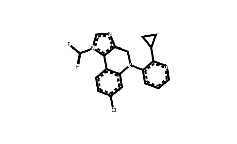 FC(F)n1cnc2c1-c1ccc(Cl)cc1N(c1cccnc1C1CC1)C2